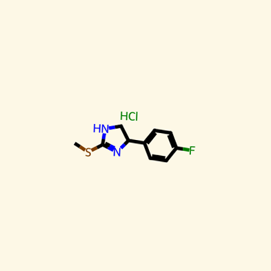 CSC1=NC(c2ccc(F)cc2)CN1.Cl